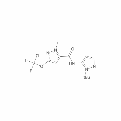 Cn1nc(OC(F)(F)Cl)cc1C(=O)Nc1ccnn1C(C)(C)C